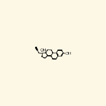 C#CC[C@]1(O)CCC2C3CCc4cc(O)ccc4C3CC[C@@]21C